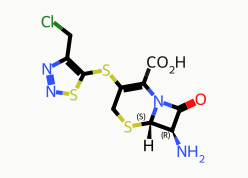 N[C@@H]1C(=O)N2C(C(=O)O)=C(Sc3snnc3CCl)CS[C@@H]12